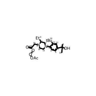 CCC1CN(c2ccc(C(C)(C)O)cc2C(C)(C)C)CCN1CC(=O)OOOC(C)=O